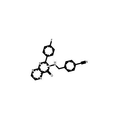 N#Cc1ccc(CNn2c(-c3ccc(F)cc3)nc3nccnc3c2=O)cc1